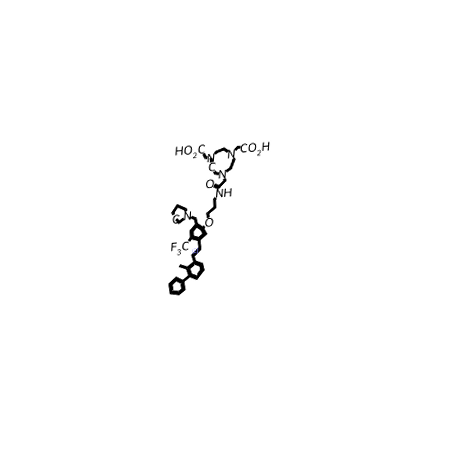 Cc1c(/C=C/c2cc(OCCCNC(=O)CN3CCN(CC(=O)O)CCN(CC(=O)O)CC3)c(CN3CCCCC3)cc2C(F)(F)F)cccc1-c1ccccc1